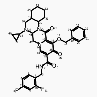 O=C(NCc1ccc(F)cc1F)c1cn2c(c(OCc3ccccc3)c1=O)C(=O)N1C3CCCCC3CN(C3CC3)C1C2